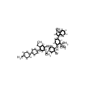 CCc1cc(Nc2ncc(Br)c(Nc3ccc(-c4cn(C)c5cccnc45)cc3P(C)(C)=O)n2)c(OC)cc1N1CCC(N2CCN(C)CC2)CC1